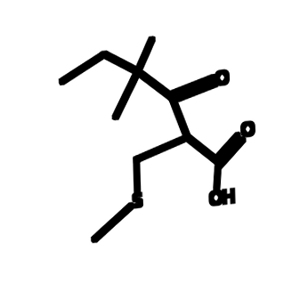 CCC(C)(C)C(=O)C(CSC)C(=O)O